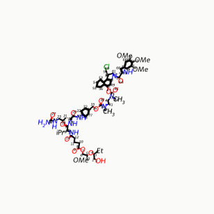 CCC(CO)OC(COC(=O)CCCC(=O)N[C@@H](C(=O)N[C@H](CCCNC(N)=O)C(=O)Nc1ccc(COC(=O)N(C)CCN(C)C(=O)Oc2cc3c(c4ccccc24)[C@@H](CCl)CN3C(=O)c2cc3cc(OC)c(OC)c(OC)c3[nH]2)cc1)C(C)C)OC